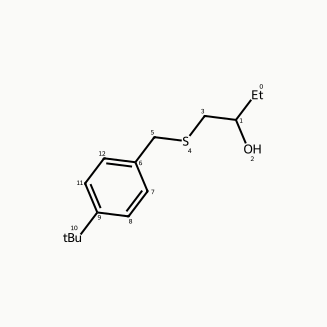 CCC(O)CSCc1ccc(C(C)(C)C)cc1